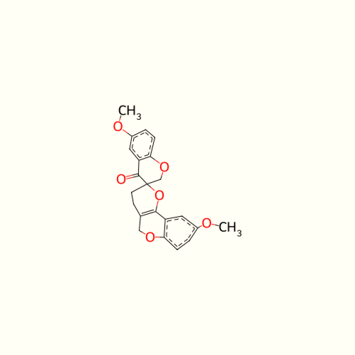 COc1ccc2c(c1)C(=O)C1(CCC3=C(O1)c1cc(OC)ccc1OC3)CO2